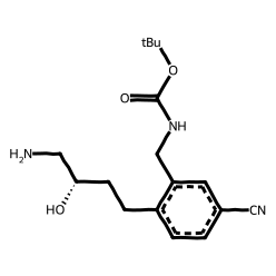 CC(C)(C)OC(=O)NCc1cc(C#N)ccc1CC[C@H](O)CN